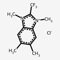 Cc1cc2c(cc1C)[n+](C)c(C(F)(F)F)n2C.[Cl-]